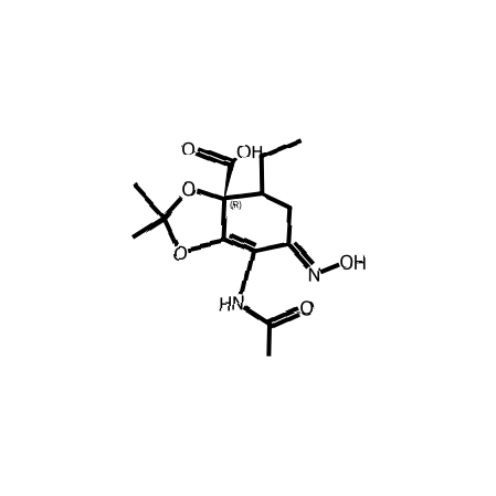 CCC1CC(=NO)C(NC(C)=O)=C2OC(C)(C)O[C@@]21C(=O)O